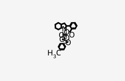 Cc1ccc(S(=O)(=O)OC(=O)OC(=O)c2ccccc2C2CC3CCCCC3N2)cc1